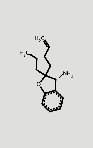 C=CCCC1(CCC)Oc2ccccc2[C@H]1N